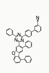 N#Cc1cccc(-c2ccc(-c3nc(-c4ccccc4)nc(-c4cc5oc6cccc(-c7ccccc7)c6c5cc4-c4ccccc4)n3)cc2)c1